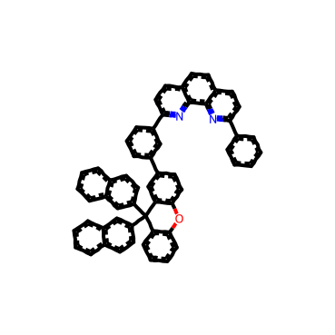 c1ccc(-c2ccc3ccc4ccc(-c5cccc(-c6ccc7c(c6)C(c6ccc8ccccc8c6)(c6ccc8ccccc8c6)c6ccccc6O7)c5)nc4c3n2)cc1